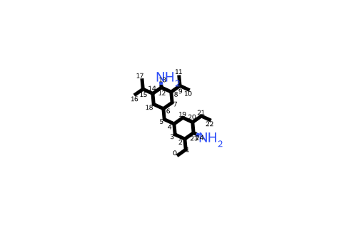 CCC1CC(CC2CC(C(C)C)C(N)C(C(C)C)C2)CC(CC)C1N